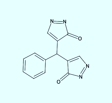 O=C1N=NC=C1C(C1=CN=NC1=O)c1ccccc1